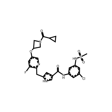 CS(=O)(=O)Nc1cc(Cl)cc(NC(=O)c2c[nH]c(Cc3ncc(OC4CN(C(=O)C5CC5)C4)cc3F)c2)c1